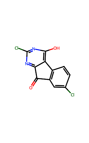 O=C1c2cc(Cl)ccc2-c2c(O)nc(Cl)nc21